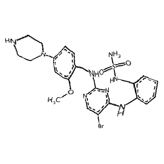 COc1cc(N2CCNCC2)ccc1Nc1ncc(Br)c(Nc2ccccc2NS(N)(=O)=O)n1